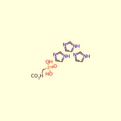 O=C(O)CP(=O)(O)O.c1c[nH]cn1.c1c[nH]cn1.c1c[nH]cn1